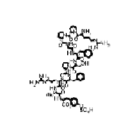 CC[C@H](C)[C@H](NC(=O)[C@H](CCCN=C(N)N)NC(=O)[C@H](Cc1ccccc1)NC(=O)[C@@H]1CCCN1C(=O)[C@H](CO)NC(=O)[C@H](Cc1ccccc1)NC(=O)CNC(=O)[C@@H]1CCCN1C(=O)[C@@H]1CCCN1C(=O)[C@@H](N)CCCN=C(N)N)C(=O)N[C@@H](Cc1ccc(OS(=O)(=O)O)cc1)C(=O)O